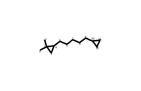 CC1(C)CC1CCCCCC1[CH]C1